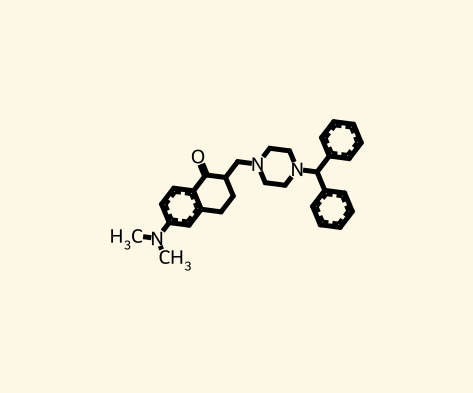 CN(C)c1ccc2c(c1)CCC(CN1CCN(C(c3ccccc3)c3ccccc3)CC1)C2=O